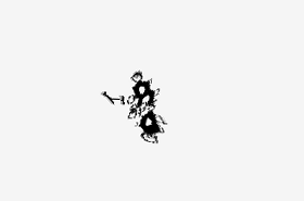 COC(=O)C1C(O)=CC(=O)CC1CCSc1ccc(Cl)cc1